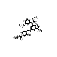 CC(C)c1cnn2c(N(C(=O)OC(C)(C)C)c3cccc([N+](=O)[O-])c3)cc(NC[C@@H]3CCN(C(=O)OC(C)(C)C)C[C@@H]3O)nc12